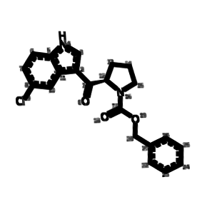 O=C(c1c[nH]c2ccc(Cl)cc12)[C@H]1CCCN1C(=O)OCc1ccccc1